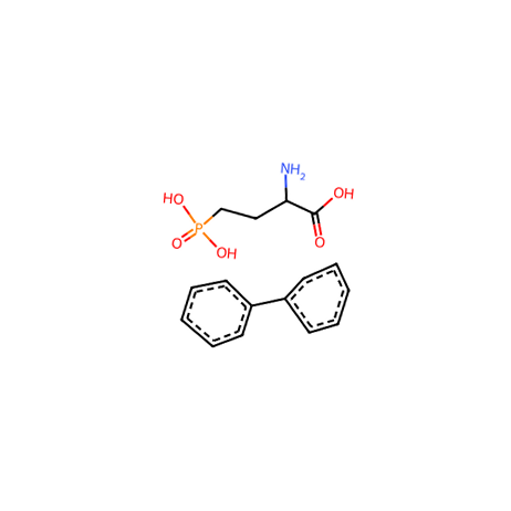 NC(CCP(=O)(O)O)C(=O)O.c1ccc(-c2ccccc2)cc1